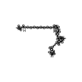 COc1cc2c(cc1OCCCCCOc1cc3c(cc1OC)C(=O)N1C=C(C)C[C@H]1[C@H](O)N3C(=O)OCc1ccc(NC(=O)[C@H](C)NC(=O)[C@@H](NC(=O)CCOCCOCCOCCOCCOCCOCCOCCOCCNC(=O)CCN3C(=O)CC(C)C3=O)C(C)C)cc1)N=C[C@@H]1CC(C)=CN1C2=O